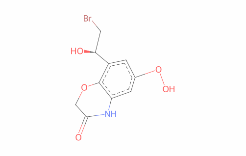 O=C1COc2c(cc(OO)cc2[C@@H](O)CBr)N1